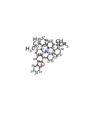 CC1(C)C2=CCCC(N(c3ccccc3C3=C=C=Cc4c3oc3ccccc43)c3cccc4c3-c3ccccc3C4(C)C)=C2c2ccccc21